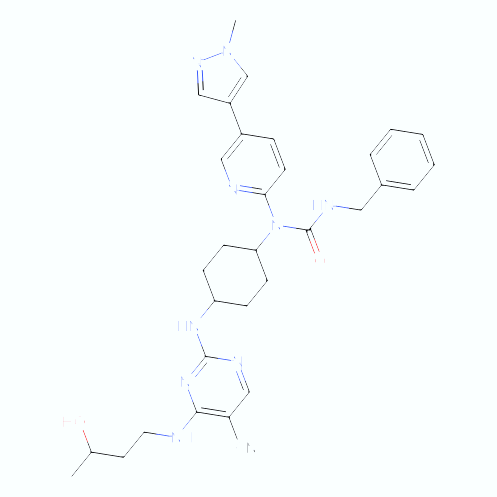 CC(O)CCNc1nc(NC2CCC(N(C(=O)NCc3ccccc3)c3ccc(-c4cnn(C)c4)cn3)CC2)ncc1C#N